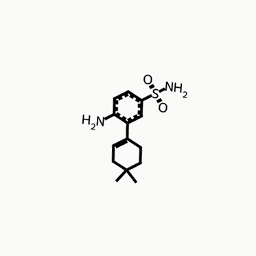 CC1(C)CC=C(c2cc(S(N)(=O)=O)ccc2N)CC1